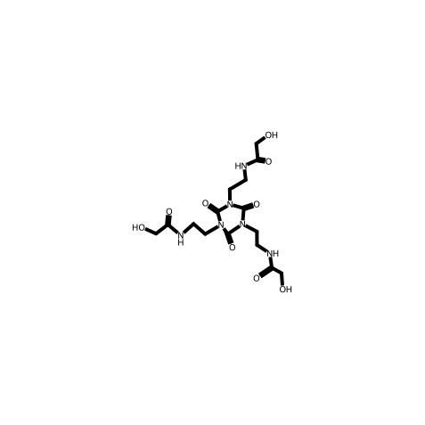 O=C(CO)NCCn1c(=O)n(CCNC(=O)CO)c(=O)n(CCNC(=O)CO)c1=O